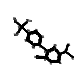 CC(C)c1ccc(=O)n(-c2ccc(C(F)(F)F)cn2)n1